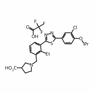 CCc1c(CN2CCC(C(=O)O)C2)cccc1-c1nnc(-c2ccc(OC(C)C)c(Cl)c2)s1.O=C(O)C(F)(F)F